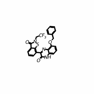 O=c1[nH]c2cccc(OCc3ccccc3)c2nc1-c1cccc2c(=O)n(CC(F)(F)F)sc12